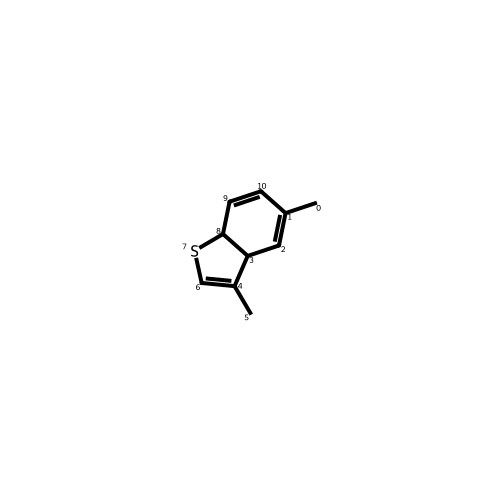 CC1=CC2C(C)=CSC2C=C1